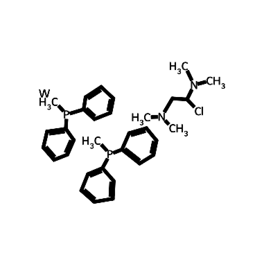 CN(C)CC(Cl)N(C)C.CP(c1ccccc1)c1ccccc1.CP(c1ccccc1)c1ccccc1.[W]